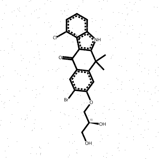 CC1(C)c2cc(OC[C@@H](O)CO)c(Br)cc2C(=O)c2c1[nH]c1cccc(Cl)c21